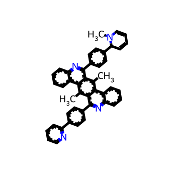 Cc1c2c(-c3ccc(C4C=CC=CN4C)cc3)nc3ccccc3c2c(C)c2c(-c3ccc(-c4ccccn4)cc3)nc3ccccc3c12